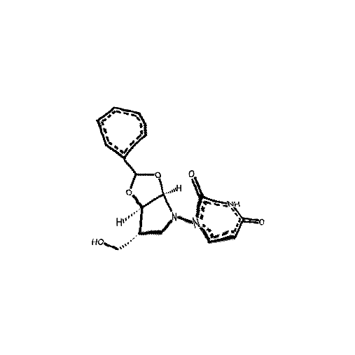 O=c1ccn(N2C[C@H](CO)[C@H]3OC(c4ccccc4)O[C@H]32)c(=O)[nH]1